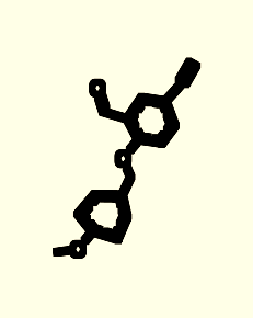 C#Cc1ccc(OCc2ccc(OC)cc2)c(C=O)c1